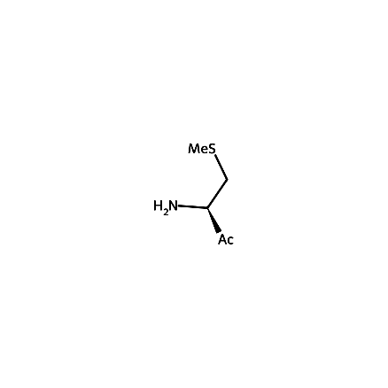 CSC[C@H](N)C(C)=O